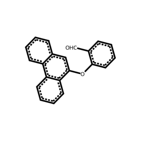 O=Cc1ccccc1Oc1cc2ccccc2c2ccccc12